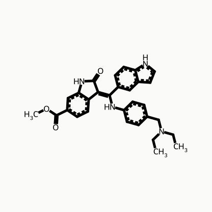 CCN(CC)Cc1ccc(NC(=C2C(=O)Nc3cc(C(=O)OC)ccc32)c2ccc3[nH]ccc3c2)cc1